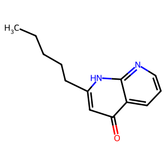 CCCCCc1cc(=O)c2cccnc2[nH]1